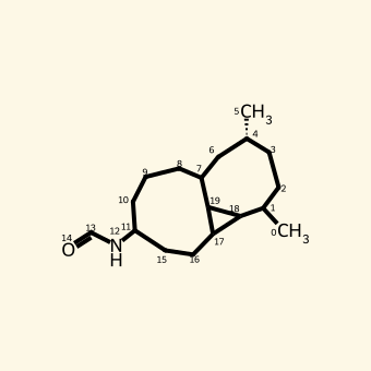 CC1CC[C@@H](C)CC2CCCC(NC=O)CCC3C1C23